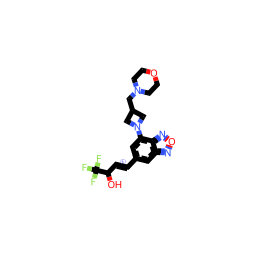 OC(/C=C/c1cc(N2CC(CN3CCOCC3)C2)c2nonc2c1)C(F)(F)F